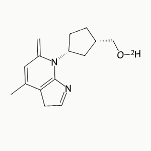 [2H]OC[C@H]1CC[C@@H](N2C(=C)C=C(C)C3=C2N=CC3)C1